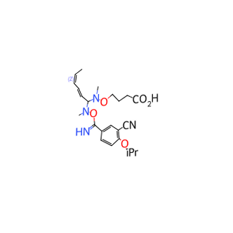 C/C=C\C=CC(N(C)OCCCC(=O)O)N(C)OC(=N)c1ccc(OC(C)C)c(C#N)c1